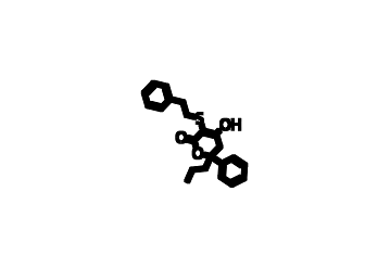 CCCC1(c2ccccc2)CC(O)=C(SCCc2ccccc2)C(=O)O1